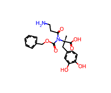 C[C@](Cc1ccc(O)c(O)c1)(C(=O)O)N(C(=O)CCN)C(=O)OCc1ccccc1